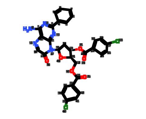 Nc1nc(-c2ccccc2)nc2c1ncc(=O)n2[C@H]1C[C@H](OC(=O)c2ccc(Cl)cc2)[C@@H](COC(=O)c2ccc(Cl)cc2)O1